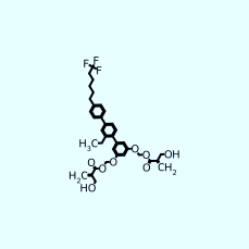 C=C(CO)C(=O)OCOc1cc(OCOC(=O)C(=C)CO)cc(-c2ccc(-c3ccc(CCCCCC(F)(F)F)cc3)cc2CC)c1